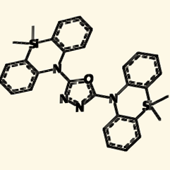 C[Si]1(C)c2ccccc2N(c2nnc(N3c4ccccc4[Si](C)(C)c4ccccc43)o2)c2ccccc21